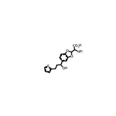 CCCC(C(=O)O)C1Oc2ccc(C(O)CCc3cccs3)cc2O1